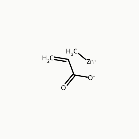 C=CC(=O)[O-].[CH3][Zn+]